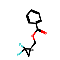 O=C(OC[C@H]1CC1(F)F)c1ccccc1